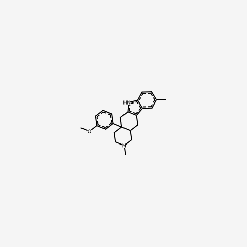 COc1cccc(C23CCN(C)CC2Cc2c([nH]c4ccc(C)cc24)C3)c1